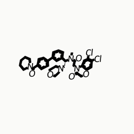 CN(C(=O)CN1C(=O)COc2cc(Cl)c(Cl)cc21)[C@H](CN1CCOCC1)c1cccc(-c2ccc(C(=O)N3CCCCC3)cc2)c1